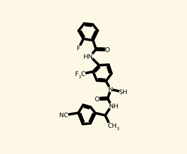 CC(NC(=O)N(S)c1ccc(NC(=O)c2ccccc2F)c(C(F)(F)F)c1)c1ccc(C#N)cc1